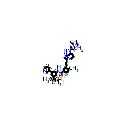 C=C/C(=C\NC)Nc1cccn2c(C#Cc3cc(C(=O)Nc4cc(-c5cccnc5)cc(C(C)(C)C)c4)c(F)cc3C)cnc12